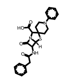 O=C(Cc1ccccc1)NC1C(=O)N2C(C(=O)O)C3(CCN(c4ccccc4)CC3)S[C@H]12